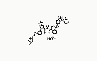 C[C@H]1CCCCN1c1nnc2ccc(O[C@@H]3CC[C@H](NC(=O)Nc4cc(C(C)(C)C)nn4-c4cccc(OCCN5CCN(C)CC5)c4)c4ccccc43)cn12.O=CO